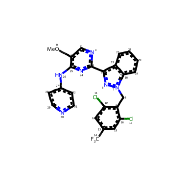 COc1cnc(-c2nn(Cc3c(Cl)cc(C(F)(F)F)cc3Cl)c3ccccc23)nc1Nc1ccncc1